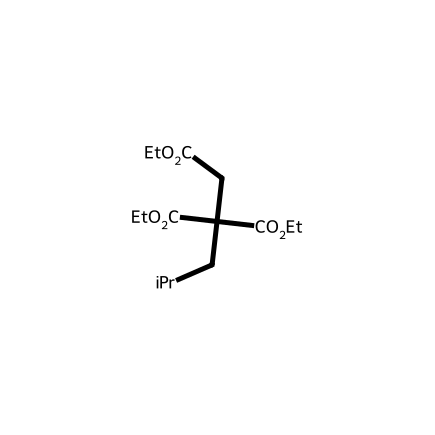 CCOC(=O)CC(CC(C)C)(C(=O)OCC)C(=O)OCC